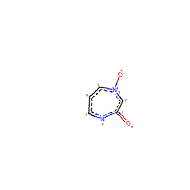 O=c1c[n+]([O-])cccn1